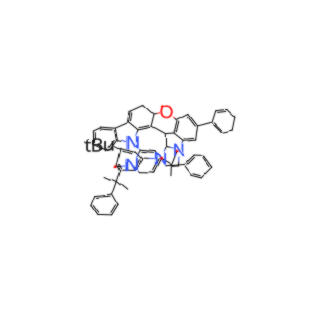 CN1CC=C(C(C)(C)c2ccccc2)C=C1n1c2c(c3ccccc31)=CCC1Oc3cc(C4=CCCC=C4)cc4c3C(C=21)C1N(c2cc(C(C)(C)C)cc(C(C)(C)c3ccccc3)c2)CCN41